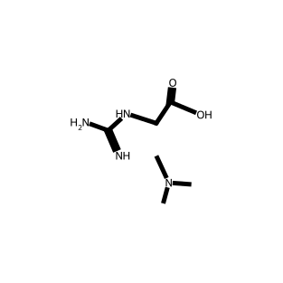 CN(C)C.N=C(N)NCC(=O)O